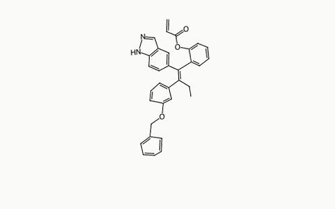 C=CC(=O)Oc1ccccc1/C(=C(\CC)c1cccc(OCc2ccccc2)c1)c1ccc2[nH]ncc2c1